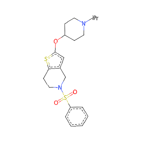 CC(C)N1CCC(Oc2cc3c(s2)CCN(S(=O)(=O)c2ccccc2)C3)CC1